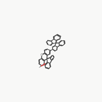 c1ccc2c(c1)-c1ccccc1C21c2ccccc2-c2ccc(-c3ccc4c(c3)C3(c5ccccc5-c5ccccc53)c3c(ccc5ccccc35)O4)cc21